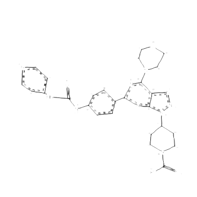 O=C(Nc1ccncc1)Nc1ccc(-c2nc(N3CCOCC3)c3nnn(C4CCN(C(=O)O)CC4)c3n2)cc1